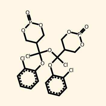 O=[P]1OCC(C(Cl)(Oc2ccccc2Cl)OC(Cl)(Oc2ccccc2Cl)C2CO[P](=O)OC2)CO1